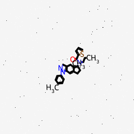 CCCN(C(=O)c1cccs1)[C@H]1CCC2=Cc3c(cnn3-c3ccc(C)cc3)C[C@@]21C